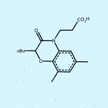 CCCCC1Oc2c(C)cc(C)cc2N(CCC(=O)O)C1=O